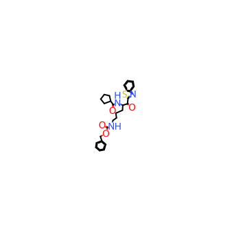 O=C(NCCCCC(NC(=O)C1CCCC1)C(=O)c1nc2ccccc2s1)OCc1ccccc1